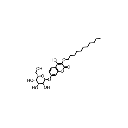 CCCCCCCCCCCOc1c(O)c2ccc(O[C@@H]3O[C@H](CO)[C@@H](O)[C@H](O)[C@@H]3O)cc2oc1=O